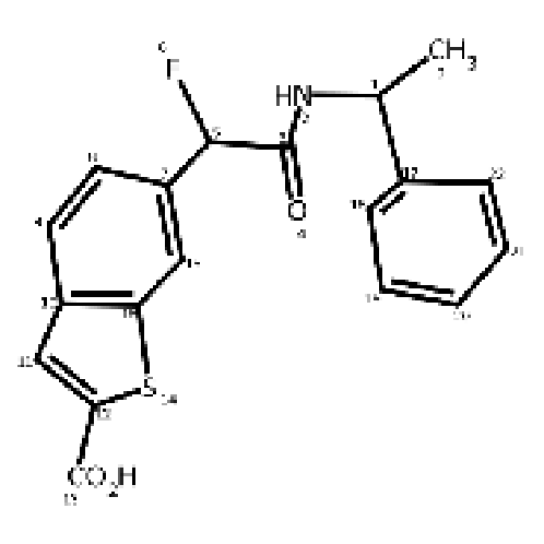 CC(NC(=O)C(F)c1ccc2cc(C(=O)O)sc2c1)c1ccccc1